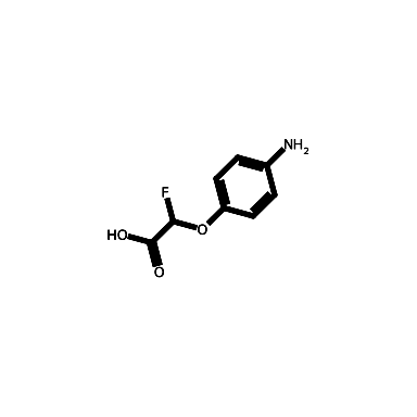 Nc1ccc(OC(F)C(=O)O)cc1